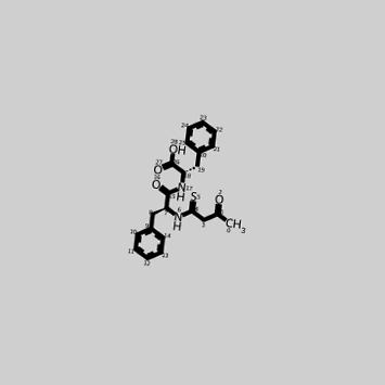 CC(=O)CC(=S)N[C@@H](Cc1ccccc1)C(=O)N[C@@H](Cc1ccccc1)C(=O)O